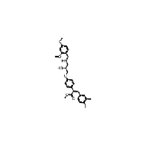 COC(=O)/C(=C\c1ccc(F)c(C)c1)c1ccc(OCC(O)CNCc2ccc(OC)cc2OC)cc1